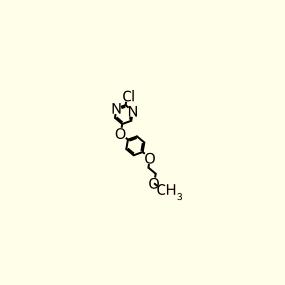 COCCOc1ccc(Oc2cnc(Cl)nc2)cc1